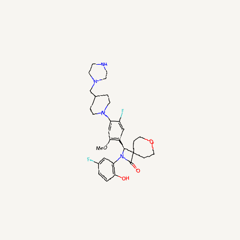 COc1cc(N2CCC(CN3CCNCC3)CC2)c(F)cc1[C@@H]1N(c2cc(F)ccc2O)C(=O)C12CCOCC2